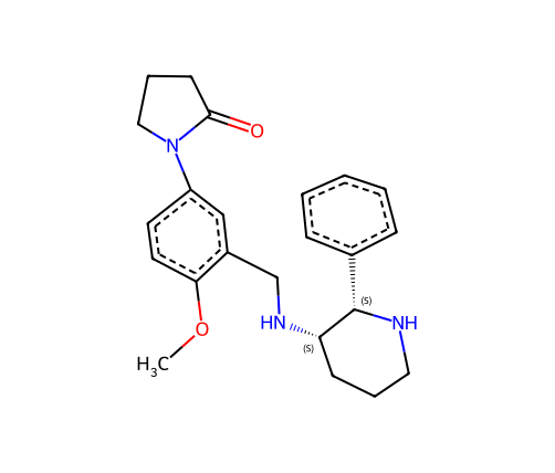 COc1ccc(N2CCCC2=O)cc1CN[C@H]1CCCN[C@H]1c1ccccc1